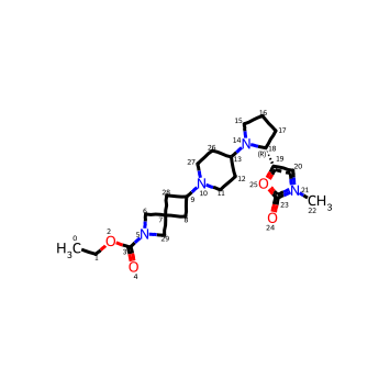 CCOC(=O)N1CC2(CC(N3CCC(N4CCC[C@@H]4c4cn(C)c(=O)o4)CC3)C2)C1